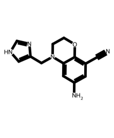 N#Cc1cc(N)cc2c1OCCN2Cc1c[nH]cn1